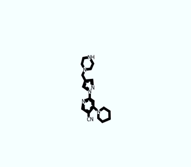 N#Cc1cnc(-n2cc(CN3CCNCC3)cn2)cc1N1CCCCC1